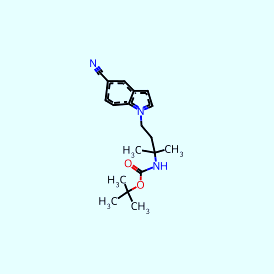 CC(C)(CCn1ccc2cc(C#N)ccc21)NC(=O)OC(C)(C)C